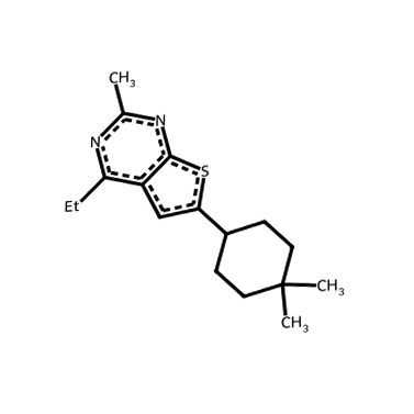 CCc1nc(C)nc2sc(C3CCC(C)(C)CC3)cc12